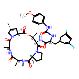 C[C@@H]1C[C@H]2C(=O)O[C@@H](C)[C@H](NC(=O)[C@H](CC3C=C(F)C=C(F)C3)NC(=O)Nc3ccc(OC(F)(F)F)cc3)C(=O)N3CCC[C@H]3C(=O)N(C)[C@@H](C)C(=O)N[C@@H](C)C(=O)N2C1